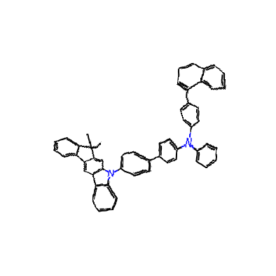 CC1(C)c2ccccc2-c2cc3c4ccccc4n(-c4ccc(-c5ccc(N(c6ccccc6)c6ccc(-c7cccc8ccccc78)cc6)cc5)cc4)c3cc21